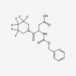 O=C(O)CC(NC(=O)OCc1ccccc1)C(=O)N1CC(F)(F)C(F)(F)C(F)(F)C1